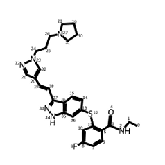 CCNC(=O)c1ccc(F)cc1Sc1ccc2c(/C=C/c3cnn(CCCN4CCCC4)c3)n[nH]c2c1